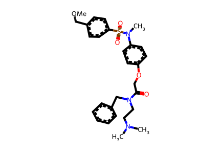 COCc1ccc(S(=O)(=O)N(C)c2ccc(OCC(=O)N(CCN(C)C)Cc3ccccc3)cc2)cc1